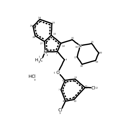 Cl.Cn1c(COc2cc(Cl)cc(Cl)c2)c(CN2CCCCC2)c2ccccc21